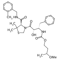 COC(C)CCOC(=O)N[C@@H](Cc1ccccc1)[C@H](O)C(=O)N1CSC(C)(C)[C@H]1C(=O)NCc1ccccc1C